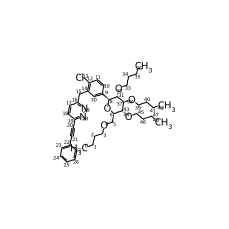 CCCCOC[C@H]1O[C@@H](c2ccc(Cl)c(Cc3ccc(C#Cc4ccccc4)nn3)c2)[C@H](OCCCC)[C@@H](OCCCC)[C@@H]1OCCCC